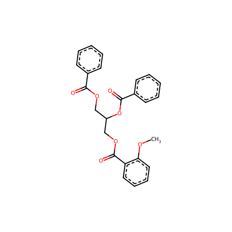 COc1ccccc1C(=O)OCC(COC(=O)c1ccccc1)OC(=O)c1ccccc1